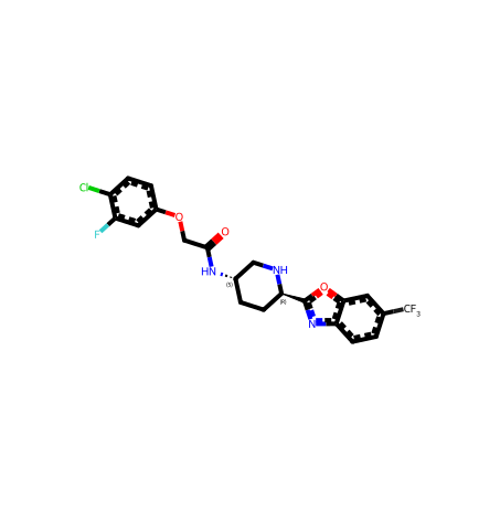 O=C(COc1ccc(Cl)c(F)c1)N[C@H]1CC[C@H](c2nc3ccc(C(F)(F)F)cc3o2)NC1